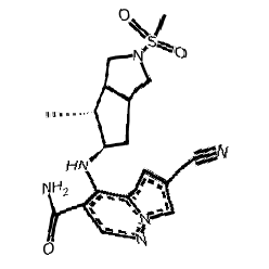 C[C@@H]1C2CN(S(C)(=O)=O)CC2C[C@H]1Nc1c(C(N)=O)cnn2cc(C#N)cc12